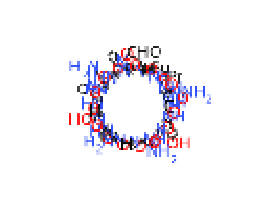 CCCC[C@H]1C(=O)N(C)[C@@H](CCCC)C(=O)NC(CC(C)C)C(=O)N[C@H](C(=O)NCC(N)=O)CNCC(=O)N[C@@H](Cc2ccc(O)cc2)C(=O)N(C)[C@@H](C)C(=O)N[C@@H](CC(N)=O)C(=O)N2CCC[C@H]2C(=O)N[C@@H](CN)C(=O)N[C@@H](CC(C)C)C(=O)N2C[C@H](O)C[C@H]2C(=O)N[C@@H](Cc2c[nH]c3ccccc23)C(=O)N[C@@H](CCCCN)C(=O)N[C@@H](Cc2cn(COC=O)c3ccccc23)C(=O)N1C